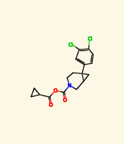 O=C(OC(=O)N1CCC2(c3ccc(Cl)c(Cl)c3)CC2C1)C1CC1